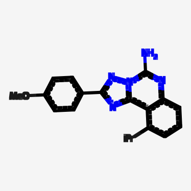 COc1ccc(-c2nc3c4c(C(C)C)cccc4nc(N)n3n2)cc1